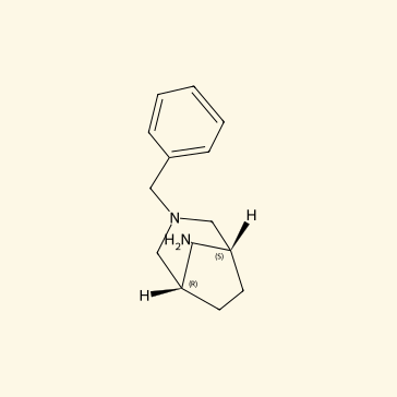 NC1[C@@H]2CC[C@H]1CN(Cc1ccccc1)C2